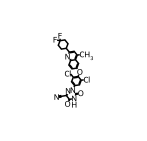 Cc1cc(C2CCC(F)(F)CC2)nc2ccc(Oc3c(Cl)cc(-n4nc(C#N)c(=O)[nH]c4=O)cc3Cl)cc12